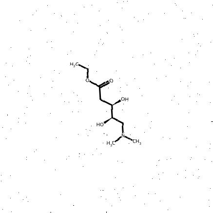 CCOC(=O)C[C@@H](O)[C@H](O)CN(C)C